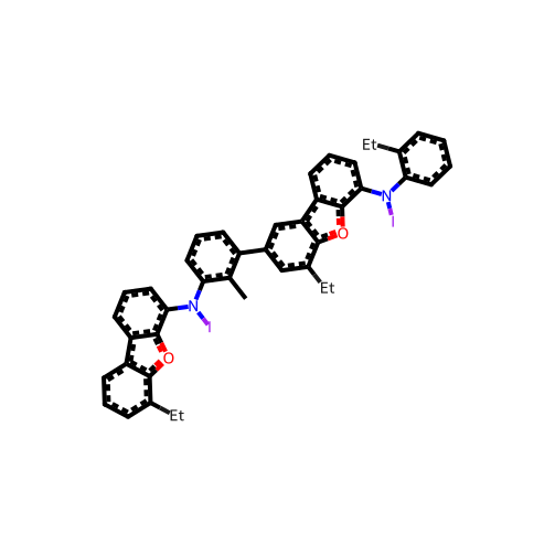 CCc1ccccc1N(I)c1cccc2c1oc1c(CC)cc(-c3cccc(N(I)c4cccc5c4oc4c(CC)cccc45)c3C)cc12